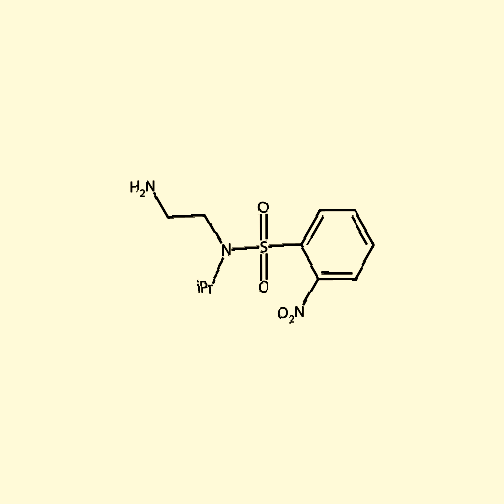 CC(C)N(CCN)S(=O)(=O)c1ccccc1[N+](=O)[O-]